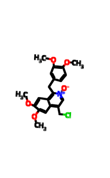 COc1ccc(Cc2c3cc(OC)c(OC)cc3c(CCl)c[n+]2[O-])cc1OC